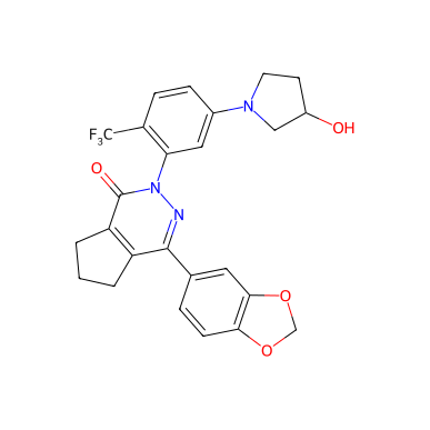 O=c1c2c(c(-c3ccc4c(c3)OCO4)nn1-c1cc(N3CCC(O)C3)ccc1C(F)(F)F)CCC2